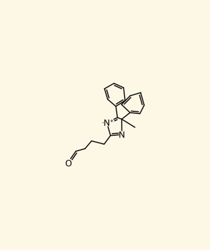 CC1(c2ccccc2)N=C(CCCC=O)[N+]=C1c1ccccc1